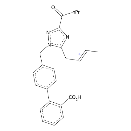 C/C=C/Cc1nc(C(=O)CCC)nn1Cc1ccc(-c2ccccc2C(=O)O)cc1